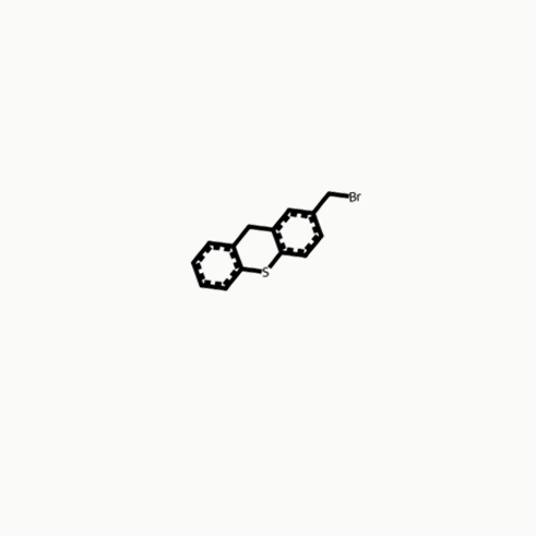 BrCc1ccc2c(c1)Cc1ccccc1S2